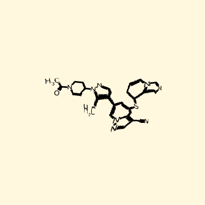 CC(=O)N1CCC(n2ncc(-c3cc(Sc4cccn5cncc45)c4c(C#N)cnn4c3)c2C)CC1